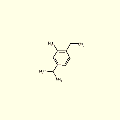 C=Cc1ccc(C(C)N)cc1C